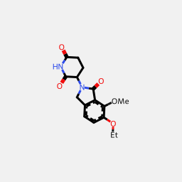 CCOc1ccc2c(c1OC)C(=O)N(C1CCC(=O)NC1=O)C2